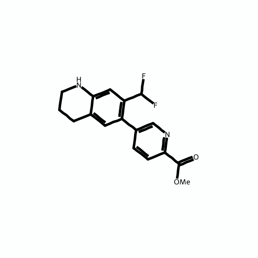 COC(=O)c1ccc(-c2cc3c(cc2C(F)F)NCCC3)cn1